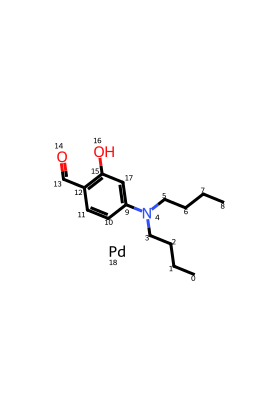 CCCCN(CCCC)c1ccc(C=O)c(O)c1.[Pd]